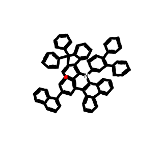 c1ccc(-c2ccc(N(c3cccc4c3-c3ccccc3C4(c3ccccc3)c3ccccc3)c3c(-c4cccc(-c5cccc6ccccc56)c4)c4ccccc4c4ccccc34)cc2-c2ccccc2)cc1